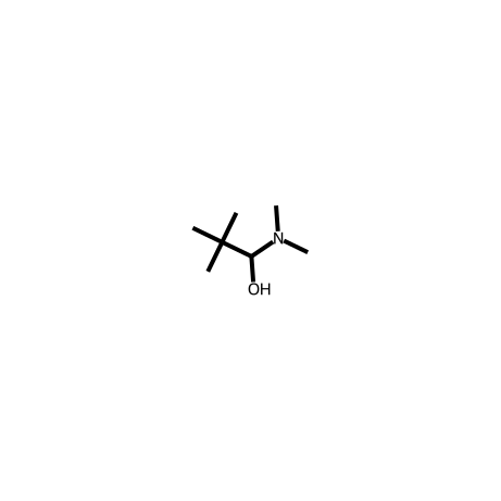 CN(C)C(O)C(C)(C)C